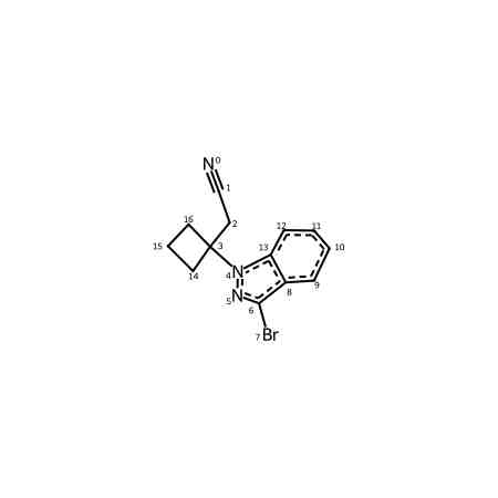 N#CCC1(n2nc(Br)c3ccccc32)CCC1